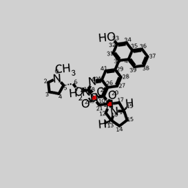 CN1CCC[C@H]1COc1nc(N2C[C@H]3CC[C@@H](C2)N3C(=O)CS(N)(=O)=O)c2ccc(-c3cc(O)cc4ccccc34)cc2n1